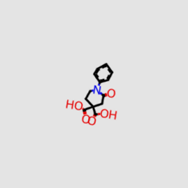 O=C1CC(C(=O)O)(C(=O)O)CCN1c1ccccc1